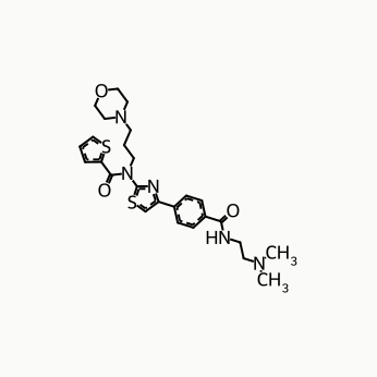 CN(C)CCNC(=O)c1ccc(-c2csc(N(CCCN3CCOCC3)C(=O)c3cccs3)n2)cc1